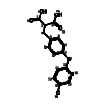 O=C(O)C(Cc1ccc(Oc2ccc(Cl)cn2)cc1)C(=O)O